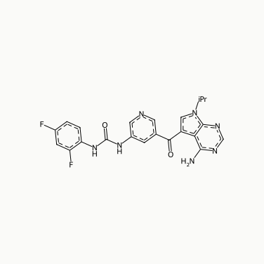 CC(C)n1cc(C(=O)c2cncc(NC(=O)Nc3ccc(F)cc3F)c2)c2c(N)ncnc21